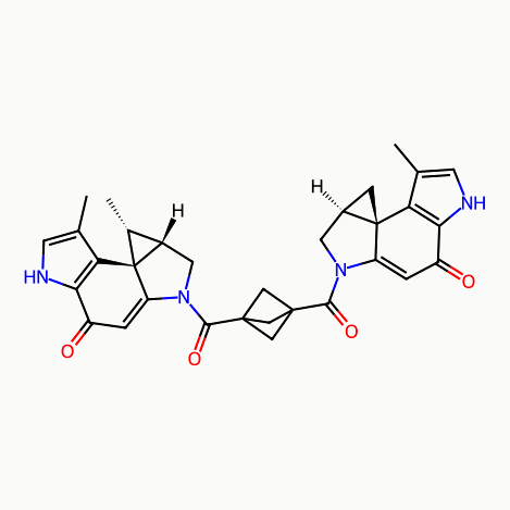 Cc1c[nH]c2c1[C@]13C(=CC2=O)N(C(=O)C24CC(C(=O)N5C[C@H]6C[C@@]67C5=CC(=O)c5[nH]cc(C)c57)(C2)C4)C[C@H]1[C@H]3C